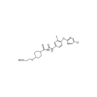 COCCOC1CCC(C(=O)NC(=O)Nc2ccc(Oc3ncc(Cl)cn3)c(F)c2)CC1